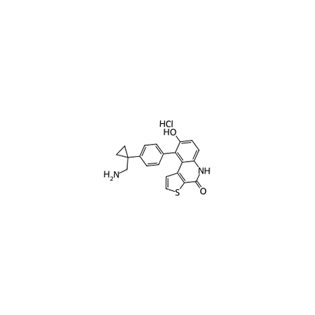 Cl.NCC1(c2ccc(-c3c(O)ccc4[nH]c(=O)c5sccc5c34)cc2)CC1